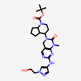 CN1C(=O)N(C2CCN(C(=O)OC(C)(C)C)C3CCCC32)Cc2cnc(Nc3cnn(CCO)c3)nc21